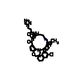 CO[C@H]1/C=C/CCC[S@@](=O)(NC(=O)CCn2cncn2)=NC(=O)c2ccc3c(c2)N(C[C@@H]2CC[C@H]21)C[C@@]1(CCCc2cc(Cl)ccc21)CO3